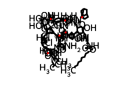 CCCCCCCCCS(=O)(=O)NCCNCC1=C(O)CC2C(c3cc(ccc3O)[C@H]3NC(=O)[C@@H]4NC(=O)[C@H](CC(N)=O)NC(=O)[C@H](NC(=O)[C@@H](CC(C)C)NC)[C@H](O)[C@H]5C=C[C@@H](Oc6cc4cc(c6O[C@@H]4C[C@H](CN)[C@@H](O)[C@H](O)[C@H]4O)O[C@@H]4CC[C@@H](C=C4Cl)[C@@H](O)[C@H](NC3=O)C(=O)N[C@@H]2C(=O)NC2C3CC4CC(C3)CC2C4)[C@H](Cl)C5)[C@H]1O